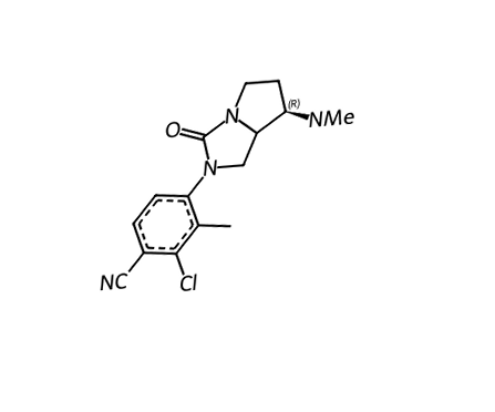 CN[C@@H]1CCN2C(=O)N(c3ccc(C#N)c(Cl)c3C)CC12